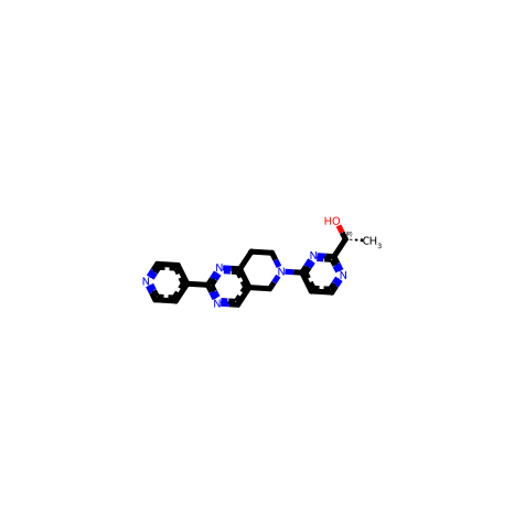 C[C@@H](O)c1nccc(N2CCc3nc(-c4ccncc4)ncc3C2)n1